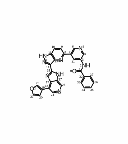 O=C(Nc1cncc(-c2ccc3[nH]nc(-c4nc5c(-c6ccoc6)cncc5[nH]4)c3n2)c1)c1ccccc1